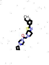 CCc1cccc(-c2nc3c(s2)CN(CC(=O)N2CCN(C4CCC4)CC2)CC3)c1